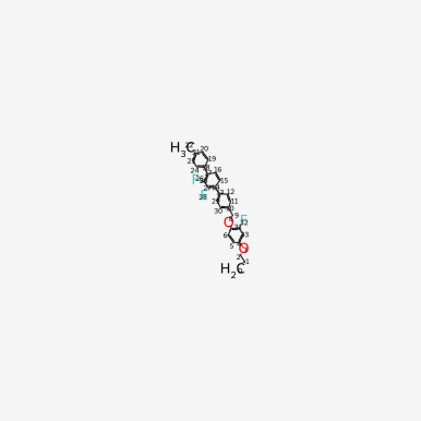 C=CCOc1ccc(OCc2ccc(-c3ccc(-c4ccc(C)cc4)c(F)c3F)cc2)c(F)c1